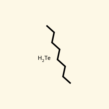 CCCCCCCC.[TeH2]